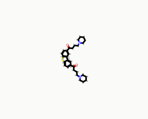 O=C(CCCN1CCCCC1)c1ccc2sc3ccc(C(=O)CCCN4CCCCC4)cc3c2c1